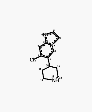 Clc1cc2nccn2cc1C1CCNCC1